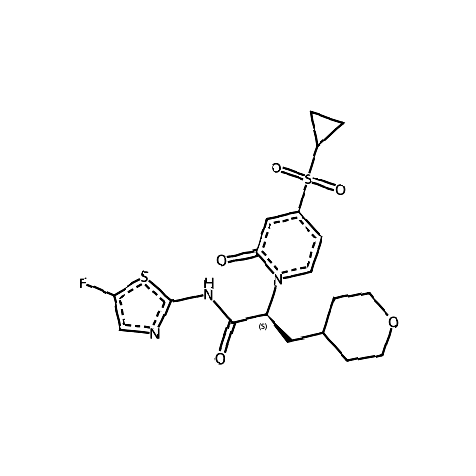 O=C(Nc1ncc(F)s1)[C@H](CC1CCOCC1)n1ccc(S(=O)(=O)C2CC2)cc1=O